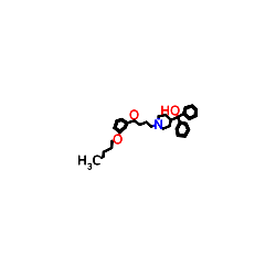 CCCCCOc1cccc(C(=O)CCCN2CCC(C(O)(c3ccccc3)c3ccccc3)CC2)c1